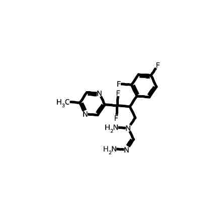 Cc1cnc(C(F)(F)C(CN(N)/C=N\N)c2ccc(F)cc2F)cn1